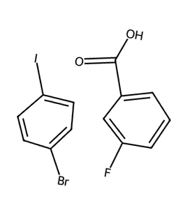 Brc1ccc(I)cc1.O=C(O)c1cccc(F)c1